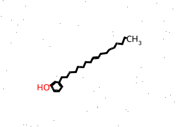 CCCCCCCC/C=C/CCCCCCCCc1cccc(O)c1